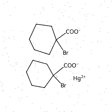 O=C([O-])C1(Br)CCCCC1.O=C([O-])C1(Br)CCCCC1.[Hg+2]